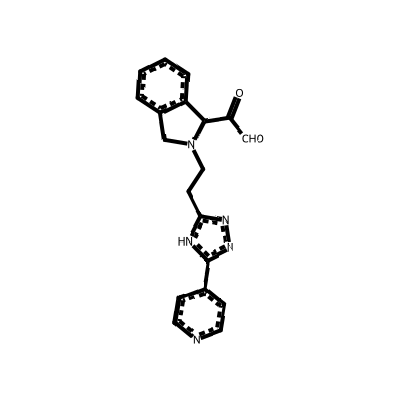 O=CC(=O)C1c2ccccc2CN1CCc1nnc(-c2ccncc2)[nH]1